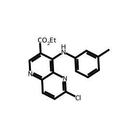 CCOC(=O)c1cnc2ccc(Cl)nc2c1Nc1cccc(C)c1